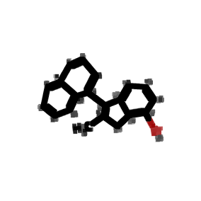 CC1=C(c2cccc3ccccc23)c2cccc(Br)c2C1